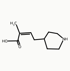 CC(=CCC1CCNCC1)C(=O)O